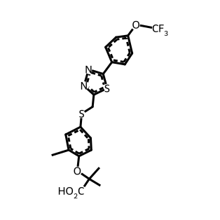 Cc1cc(SCc2nnc(-c3ccc(OC(F)(F)F)cc3)s2)ccc1OC(C)(C)C(=O)O